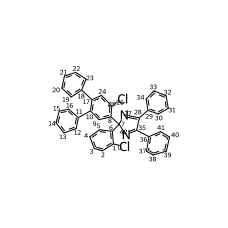 Clc1ccccc1C1(c2cc(-c3ccccc3)c(-c3ccccc3)cc2Cl)N=C(c2ccccc2)C(c2ccccc2)=N1